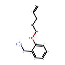 C=CCCCOc1ccccc1CN